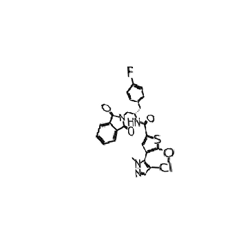 COc1sc(C(=O)N[C@@H](Cc2ccc(F)cc2)CN2C(=O)c3ccccc3C2=O)cc1-c1c(Cl)cnn1C